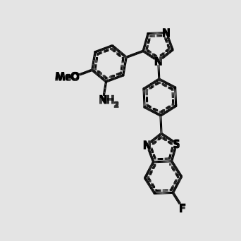 COc1ccc(-c2cncn2-c2ccc(-c3nc4ccc(F)cc4s3)cc2)cc1N